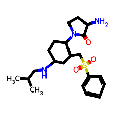 CC(C)CNC1CCC(N2CCC(N)C2=O)C(CS(=O)(=O)c2ccccc2)C1